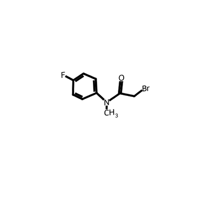 CN(C(=O)CBr)c1ccc(F)cc1